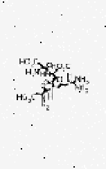 NC(N)NCCC[C@H](NC(=O)[C@@H](N)CC(=O)O)C(=O)C(=O)[C@H](CC(=O)O)NC(=O)[C@@H](N)CC(=O)O